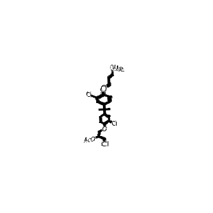 COCCCOc1ccc(C(C)(C)c2ccc(OCC(CCl)OC(C)=O)c(Cl)c2)cc1Cl